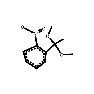 COC(C)(OC)c1ccccc1[N+](=O)[O-]